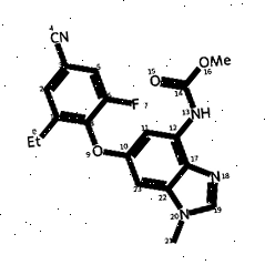 CCc1cc(C#N)cc(F)c1Oc1cc(NC(=O)OC)c2ncn(C)c2c1